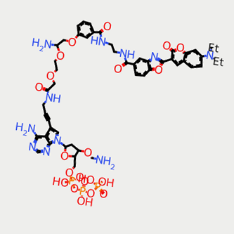 CCN(CC)c1ccc2cc(-c3nc4cc(C(=O)NCCNC(=O)c5cccc(OCC(N)OCCOCC(=O)NCC#Cc6cn(C7CC(OCN)C(COP(=O)(O)OP(=O)(O)OP(=O)(O)O)O7)c7ncnc(N)c67)c5)ccc4o3)c(=O)oc2c1